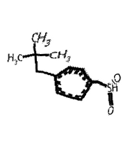 CC(C)(C)Cc1ccc([SH](=O)=O)cc1